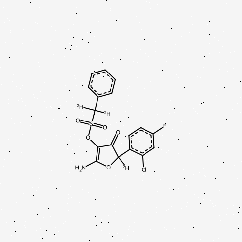 [2H]C1(c2ccc(F)cc2Cl)OC(N)=C(OS(=O)(=O)C([2H])([2H])c2ccccc2)C1=O